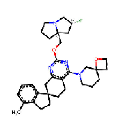 Cc1cccc2c1CCC21CCc2c(nc(OC[C@@]34CCCN3C[C@H](F)C4)nc2N2CCCC3(CCO3)C2)C1